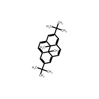 CC(C)(C)C1=CC2=CC=C3C=C(C(C)(C)C)C=C4C=CC(=C1)C2(C)C34C